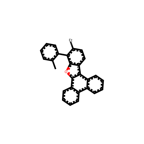 CCc1ccc2c(oc3c4ccccc4c4ccccc4c23)c1-c1ccccc1C